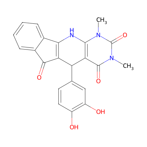 Cn1c2c(c(=O)n(C)c1=O)C(c1ccc(O)c(O)c1)C1=C(N2)c2ccccc2C1=O